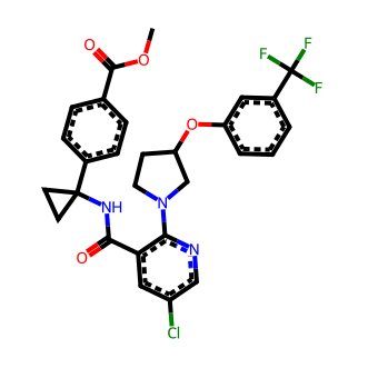 COC(=O)c1ccc(C2(NC(=O)c3cc(Cl)cnc3N3CCC(Oc4cccc(C(F)(F)F)c4)C3)CC2)cc1